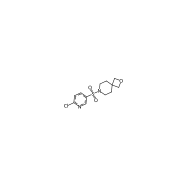 O=S(=O)(c1ccc(Cl)nc1)N1CCC2(CC1)COC2